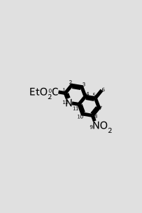 CCOC(=O)c1ccc2c(C)cc([N+](=O)[O-])cc2n1